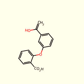 C=C(O)c1cccc(Oc2ccccc2C(=O)O)c1